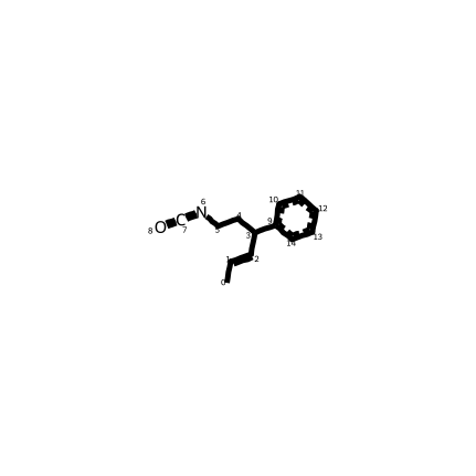 CC=CC(CCN=C=O)c1ccccc1